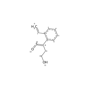 C=Cc1ccccc1C(CCO)=S=O